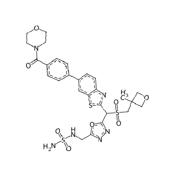 CC1(CS(=O)(=O)C(c2nnc(CNS(N)(=O)=O)o2)c2nc3ccc(-c4ccc(C(=O)N5CCOCC5)cc4)cc3s2)COC1